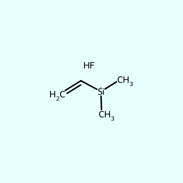 C=C[Si](C)C.F